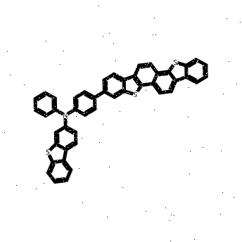 c1ccc(N(c2ccc(-c3ccc4c(c3)sc3c4ccc4c3ccc3c5ccccc5sc34)cc2)c2ccc3c(c2)sc2ccccc23)cc1